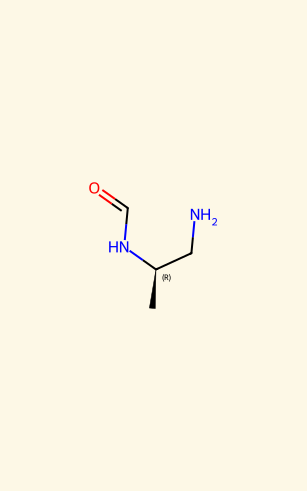 C[C@H](CN)NC=O